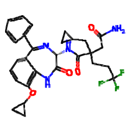 NC(=O)CC(CCC(F)(F)F)(CC1CC1)C(=O)N[C@H]1N=C(c2ccccc2)c2cccc(OC3CC3)c2NC1=O